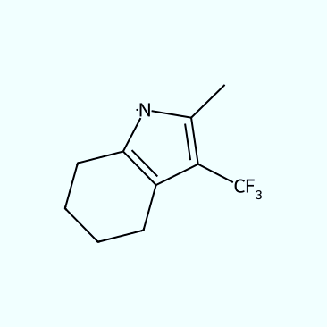 CC1=C(C(F)(F)F)C2=C(CCCC2)[N]1